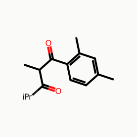 Cc1ccc(C(=O)C(C)C(=O)C(C)C)c(C)c1